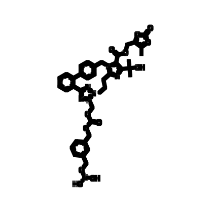 CCCc1nc(C(C)(C)O)c(C(=O)OCc2oc(=O)oc2C)n1Cc1ccc(-c2ccccc2-c2nnn(COC(=O)OCc3cccc(CON(O)O)c3)n2)cc1